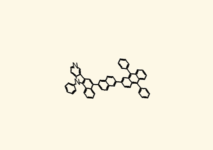 c1ccc(-c2c3ccccc3c(-c3ccccc3)c3cc(-c4ccc5cc(-c6cc7c8cnccc8n(-c8ccccc8)c7c7ccccc67)ccc5c4)ccc23)cc1